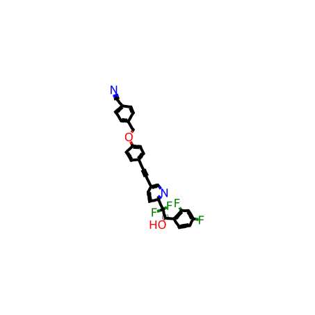 N#Cc1ccc(COc2ccc(C#Cc3ccc(C(F)(F)[C@@H](O)c4ccc(F)cc4F)nc3)cc2)cc1